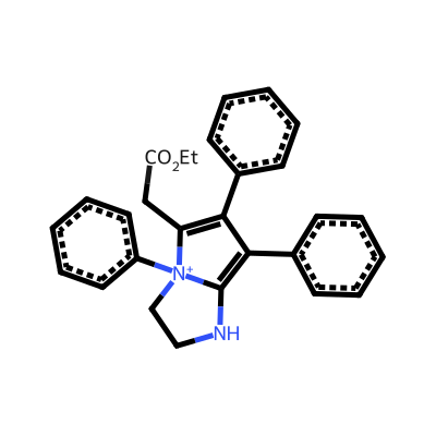 CCOC(=O)CC1=C(c2ccccc2)C(c2ccccc2)=C2NCC[N+]12c1ccccc1